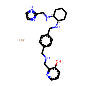 Br.Oc1cccnc1CNCc1ccc(CN[C@@H]2CCCC[C@@H]2NCc2ncc[nH]2)cc1